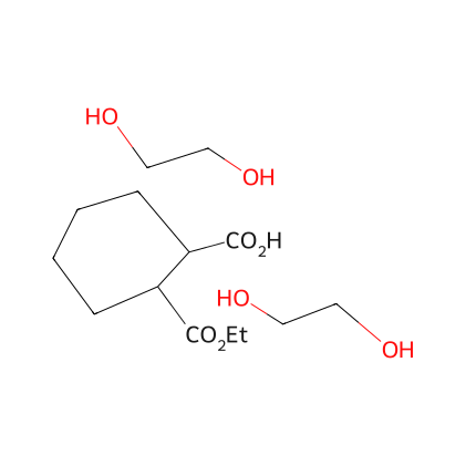 CCOC(=O)C1CCCCC1C(=O)O.OCCO.OCCO